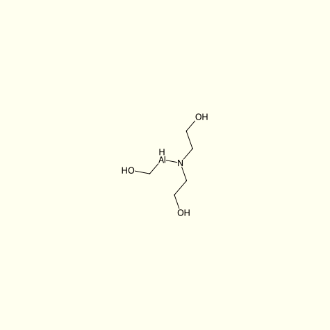 OCC[N](CCO)[AlH][CH2]O